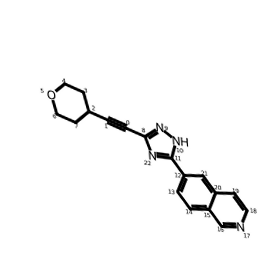 C(#CC1CCOCC1)c1n[nH]c(-c2ccc3cnccc3c2)n1